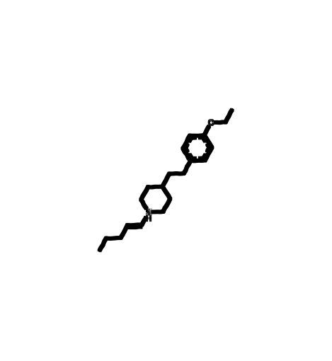 CCCC=C[SiH]1CCC(CCc2ccc(OCC)cc2)CC1